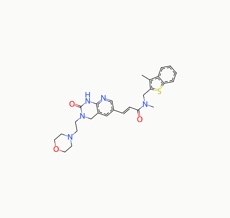 Cc1c(CN(C)C(=O)/C=C/c2cnc3c(c2)CN(CCN2CCOCC2)C(=O)N3)sc2ccccc12